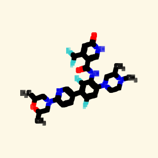 CC1CN(c2ccc(-c3c(F)cc(N4CCN(C)C(C)C4)c(NC(=O)c4c[nH]c(=O)cc4C(F)F)c3F)cn2)CC(C)O1